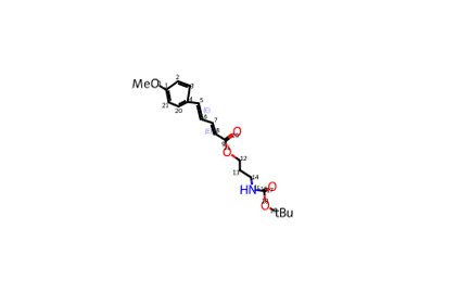 COc1ccc(/C=C/C=C/C(=O)OCCCNC(=O)OC(C)(C)C)cc1